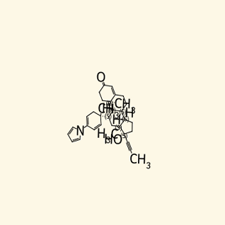 CC#C[C@]1(O)CC[C@H]2[C@@H]3CCC4=CC(=O)CC[C@]4(C)[C@H]3[C@@H](C3(C)C=CC(n4cccc4)=CC3)C[C@@]21C